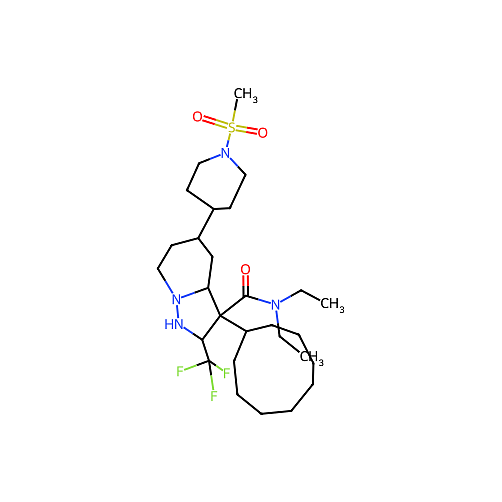 CCN(CC)C(=O)C1(C2CCCCCCCC2)C2CC(C3CCN(S(C)(=O)=O)CC3)CCN2NC1C(F)(F)F